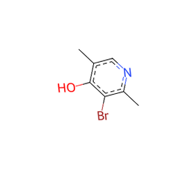 Cc1cnc(C)c(Br)c1O